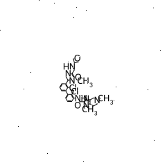 COc1nc(-c2cccc(-c3cccc(NC(=O)c4nc5c(n4C)CCN(C)C5)c3Cl)c2Cl)cnc1CNC1COC1